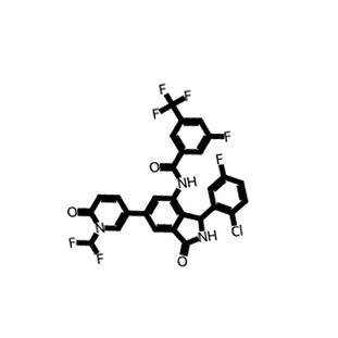 O=C(Nc1cc(-c2ccc(=O)n(C(F)F)c2)cc2c1C(c1cc(F)ccc1Cl)NC2=O)c1cc(F)cc(C(F)(F)F)c1